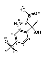 C[C@@](O)(c1ccc(S(C)(=O)=O)cc1)[C@H](N)C(=O)O